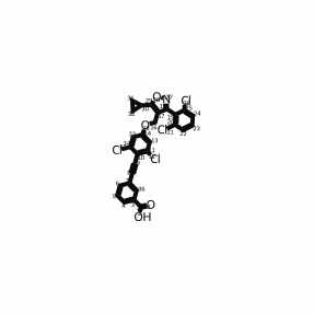 O=C(O)c1cccc(C#Cc2c(Cl)cc(OCc3c(-c4c(Cl)cccc4Cl)noc3C3CC3)cc2Cl)c1